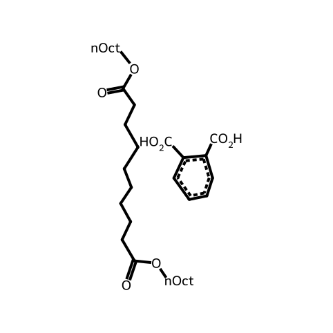 CCCCCCCCOC(=O)CCCCCCCCC(=O)OCCCCCCCC.O=C(O)c1ccccc1C(=O)O